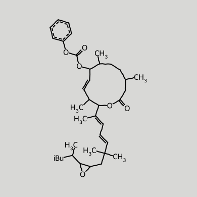 CCC(C)C(C)C1OC1CC(C)(C)/C=C/C=C(\C)C1OC(=O)CC(C)CCC(C)C(OC(=O)Oc2ccccc2)/C=C/C1C